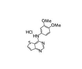 COc1ccc(Nc2ncnc3ccsc23)cc1OC.Cl